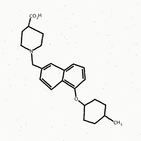 CC1CCC(Oc2cccc3cc(CN4CCC(C(=O)O)CC4)ccc23)CC1